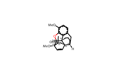 COc1ccc2c3c1O[C@H]1[C@@]4(OC)C=C[C@@]5(C[C@]4(C)C=O)[C@H](CCC[C@]315)C2